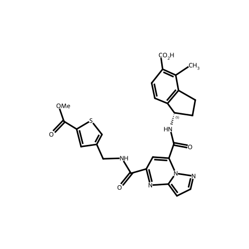 COC(=O)c1cc(CNC(=O)c2cc(C(=O)N[C@H]3CCc4c3ccc(C(=O)O)c4C)n3nccc3n2)cs1